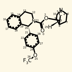 O=C(O[C@@H]1CN2CCC1CC2)N1CCc2ccccc2[C@H]1c1ccc(OC(F)(F)F)cc1